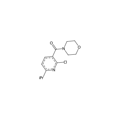 CC(C)c1ccc(C(=O)N2CCOCC2)c(Cl)n1